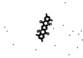 Cc1cc(C)c2[nH]c3cc4c(=O)c5cc(C)cc(C)c5[nH]c4cc3c(=O)c2c1